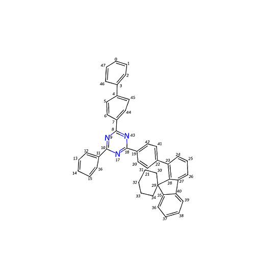 c1ccc(-c2ccc(-c3nc(-c4ccccc4)nc(-c4ccc(-c5cccc6c5C5(CCCCC5)c5ccccc5-6)cc4)n3)cc2)cc1